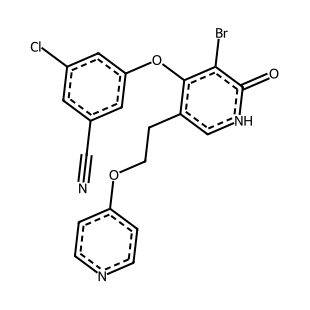 N#Cc1cc(Cl)cc(Oc2c(CCOc3ccncc3)c[nH]c(=O)c2Br)c1